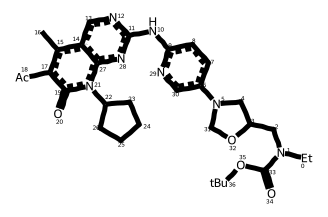 CCN(CC1CN(c2ccc(Nc3ncc4c(C)c(C(C)=O)c(=O)n(C5CCCC5)c4n3)nc2)CO1)C(=O)OC(C)(C)C